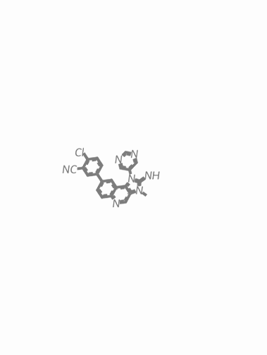 Cn1c(=N)n(-c2cncnc2)c2c3cc(-c4ccc(Cl)c(C#N)c4)ccc3ncc21